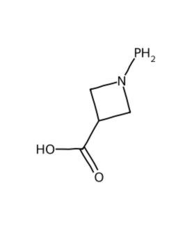 O=C(O)C1CN(P)C1